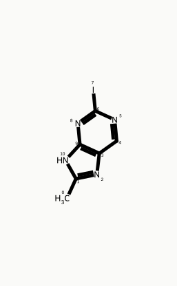 Cc1nc2cnc(I)nc2[nH]1